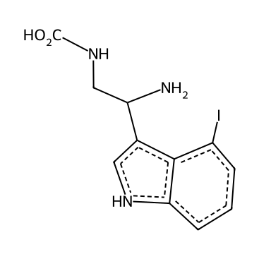 NC(CNC(=O)O)c1c[nH]c2cccc(I)c12